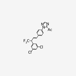 CC(=O)c1ncnn1-c1ccc(/C=C/C(c2cc(Cl)cc(Cl)c2)C(F)(F)F)cc1